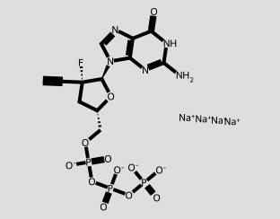 C#C[C@]1(F)C[C@@H](COP(=O)([O-])OP(=O)([O-])OP(=O)([O-])[O-])O[C@@H]1n1cnc2c(=O)[nH]c(N)nc21.[Na+].[Na+].[Na+].[Na+]